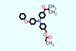 C=CC(=O)OCc1ccc(N(c2ccc(Oc3ccccc3)cc2)c2ccc(C(=O)C(=C)C)cc2)cc1